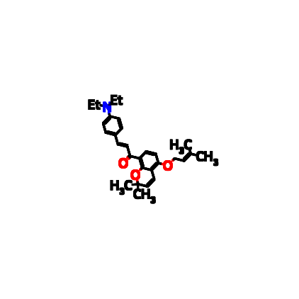 CCN(CC)c1ccc(C=CC(=O)c2ccc(OCC=C(C)C)c3c2OC(C)(C)C=C3)cc1